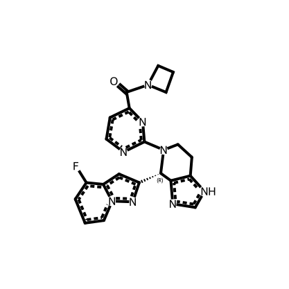 O=C(c1ccnc(N2CCc3[nH]cnc3[C@@H]2c2cc3c(F)cccn3n2)n1)N1CCC1